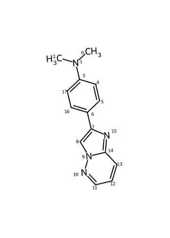 CN(C)c1ccc(-c2cn3ncccc3n2)cc1